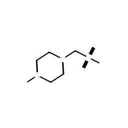 CC(C)(C)N1CCN(CS(C)(=O)=O)CC1